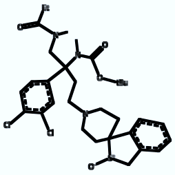 CCC(=O)N(C)CC(CCN1CCC2(CC1)c1ccccc1C[S+]2[O-])(c1ccc(Cl)c(Cl)c1)N(C)C(=O)OC(C)(C)C